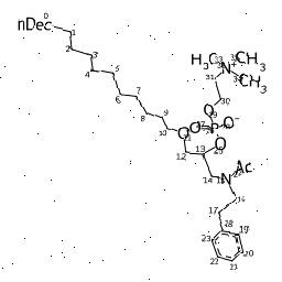 CCCCCCCCCCCCCCCCCCCCOCC(CN(CCc1ccccc1)C(C)=O)OP(=O)([O-])OCC[N+](C)(C)C